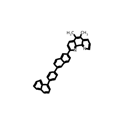 Cc1c(C)c2ccc(-c3ccc4cc(-c5ccc(-c6cccc7ccccc67)cc5)ccc4c3)nc2c2ncccc12